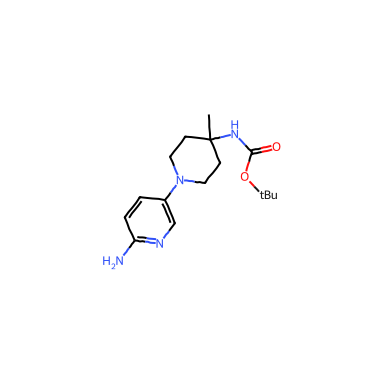 CC1(NC(=O)OC(C)(C)C)CCN(c2ccc(N)nc2)CC1